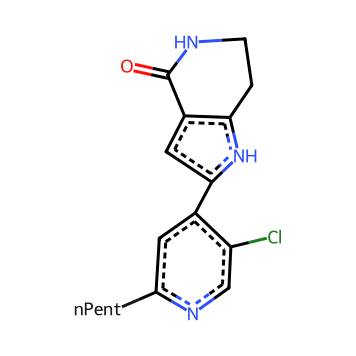 CCCCCc1cc(-c2cc3c([nH]2)CCNC3=O)c(Cl)cn1